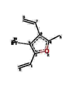 C=Cc1oc(C)c(C=C)c1C(C)C